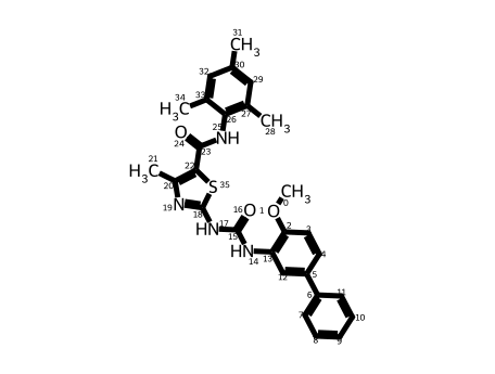 COc1ccc(-c2ccccc2)cc1NC(=O)Nc1nc(C)c(C(=O)Nc2c(C)cc(C)cc2C)s1